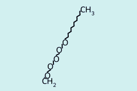 [CH2]COCCOCCOCCOCCOCCCCCCCCCCCC